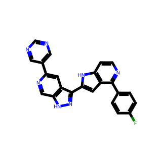 Fc1ccc(-c2nccc3[nH]c(-c4n[nH]c5cnc(-c6cncnc6)cc45)cc23)cc1